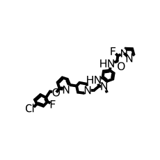 CN1c2ccc(NC(=O)C(F)n3cccn3)cc2NC1CN1CCC(c2cccc(OCc3ccc(Cl)cc3F)n2)CC1